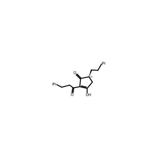 CC(C)CCC(=O)C1=C(O)C[C@H](CCC(C)C)C1=O